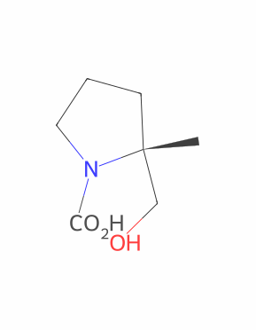 C[C@]1(CO)CCCN1C(=O)O